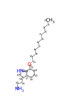 CCCCCCCCCCCCOc1cccc2c(CCN)c[nH]c12